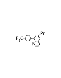 CC(C)c1cc(-c2ccc(C(F)(F)F)cc2)c2ncccc2c1